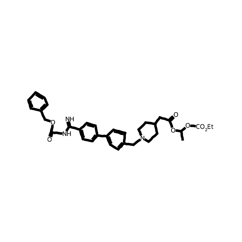 CCOC(=O)OC(C)OC(=O)CC1CCN(Cc2ccc(-c3ccc(C(=N)NC(=O)OCc4ccccc4)cc3)cc2)CC1